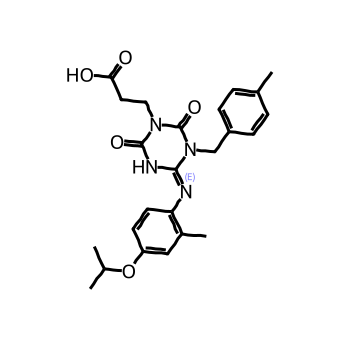 Cc1ccc(Cn2c(=O)n(CCC(=O)O)c(=O)[nH]/c2=N\c2ccc(OC(C)C)cc2C)cc1